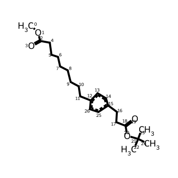 COC(=O)CCCCCCCCc1ccc(CCC(=O)OC(C)(C)C)cc1